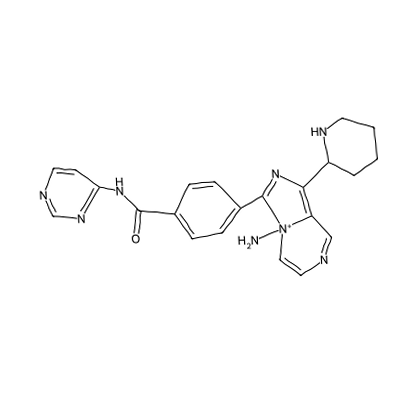 N[N+]12C=CN=CC1=C(C1CCCCN1)N=C2c1ccc(C(=O)Nc2ccncn2)cc1